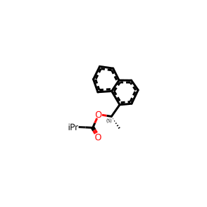 CC(C)C(=O)O[C@@H](C)c1cccc2ccccc12